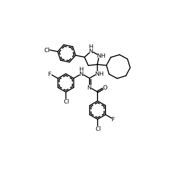 O=C(/N=C(/Nc1cc(F)cc(Cl)c1)NC1(C2CCCCCCC2)CC(c2ccc(Cl)cc2)NN1)c1ccc(Cl)c(F)c1